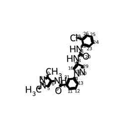 Cc1nn(C)cc1NC(=O)c1cccc(-n2cc(NC(=O)Nc3ccccc3Cl)cn2)c1